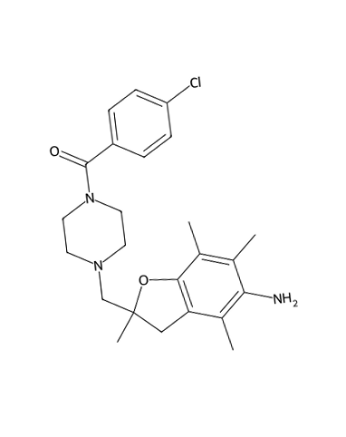 Cc1c(C)c2c(c(C)c1N)CC(C)(CN1CCN(C(=O)c3ccc(Cl)cc3)CC1)O2